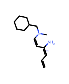 C=C/C=C(N)\C=C/N(C)CC1CCCCC1